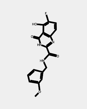 COc1cccc(CNC(=O)c2nc3ccc(F)c(O)c3c(=O)[nH]2)c1